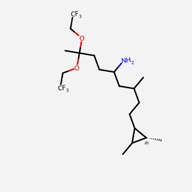 CC(CCC1C(C)[C@H]1C)CC(N)CCC(C)(OCC(F)(F)F)OCC(F)(F)F